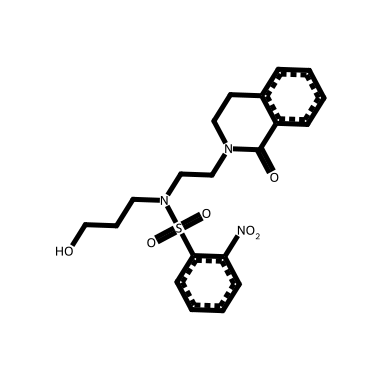 O=C1c2ccccc2CCN1CCN(CCCO)S(=O)(=O)c1ccccc1[N+](=O)[O-]